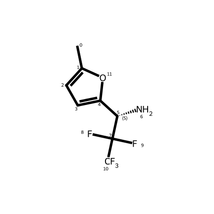 Cc1ccc([C@H](N)C(F)(F)C(F)(F)F)o1